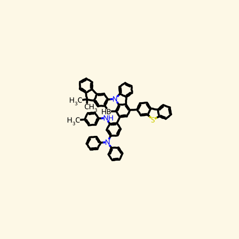 Cc1ccc(Nc2cc(N(c3ccccc3)c3ccccc3)ccc2-c2cc(-c3ccc4c(c3)sc3ccccc34)c3c4ccccc4n4c3c2Bc2cc3c(cc2-4)-c2ccccc2C3(C)C)cc1